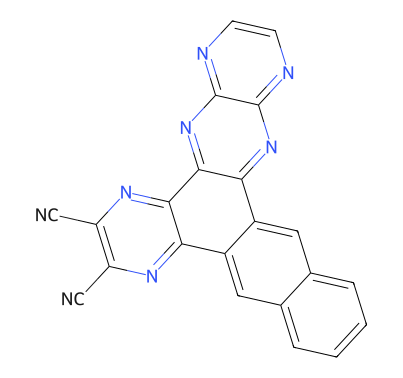 N#Cc1nc2c3cc4ccccc4cc3c3nc4nccnc4nc3c2nc1C#N